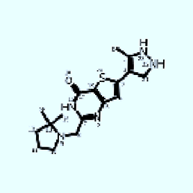 CC1=C(c2cc3nc(CN4CCCC4(C)C)[nH]c(=O)c3s2)CNN1